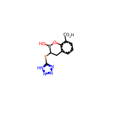 O=C(O)c1cccc2c1OB(O)C(Sc1nnn[nH]1)C2